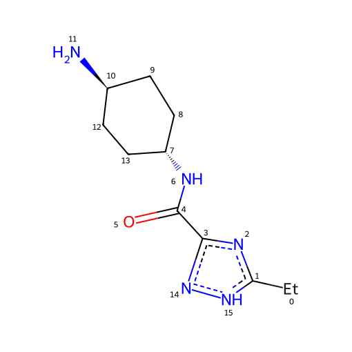 CCc1nc(C(=O)N[C@H]2CC[C@H](N)CC2)n[nH]1